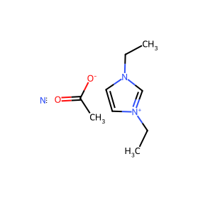 CC(=O)[O-].CCn1cc[n+](CC)c1.[N]